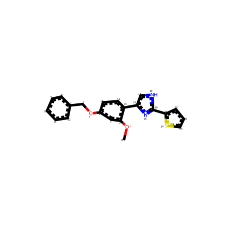 COc1cc(OCc2ccccc2)ccc1-c1c[nH]c(-c2cccs2)n1